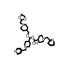 OC(OC(OCC1CCN(CC2OCCO2)CC1)C1CCN(Cc2ccncc2)CC1)C1CCN(Cc2ccccn2)CC1